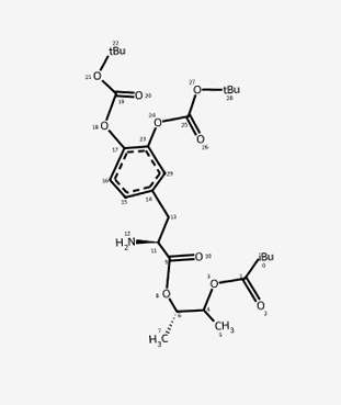 CCC(C)C(=O)OC(C)[C@H](C)OC(=O)[C@@H](N)Cc1ccc(OC(=O)OC(C)(C)C)c(OC(=O)OC(C)(C)C)c1